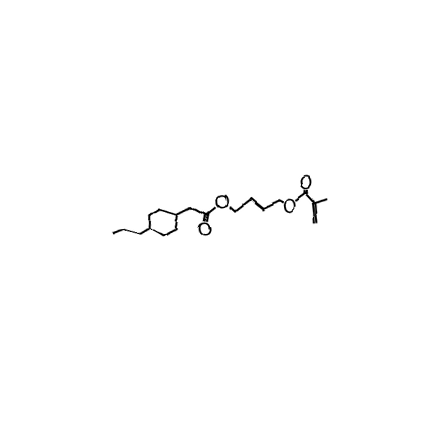 C=C(C)C(=O)OCCCCOC(=O)CC1CCC(CCC)CC1